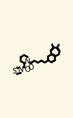 CC1=CCC2=C(C=C1C)CC(CCCCC(=O)N1CCCCC1C(=O)N1CCSC1)CC2